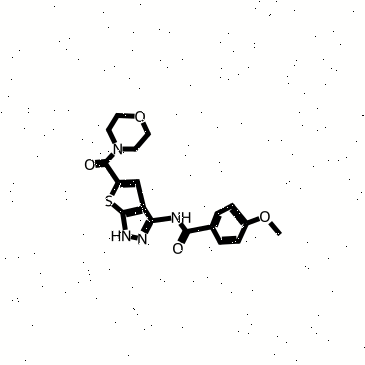 COc1ccc(C(=O)Nc2n[nH]c3sc(C(=O)N4CCOCC4)cc23)cc1